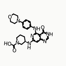 O=C(O)N1CCC[C@@H](Nc2cc3nc[nH]c(=O)c3c(Nc3ccc(N4CCOCC4)cc3)n2)C1